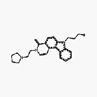 C=C1c2ccc3c(c2C=CN1CCN1CCCC1)c1ccccc1n3CCCF